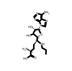 CCCN[C@@H](CC[C@H](N)C(=O)O)[C@H]1O[C@@H](n2cnc3c(N)ncnc32)[C@@H](O)C1O